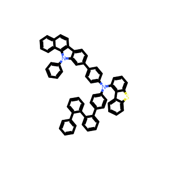 c1ccc(-c2ccccc2-c2ccccc2-c2ccc(N(c3ccc(-c4ccc5c6ccc7ccccc7c6n(-c6ccccc6)c5c4)cc3)c3cccc4sc5ccccc5c34)cc2)cc1